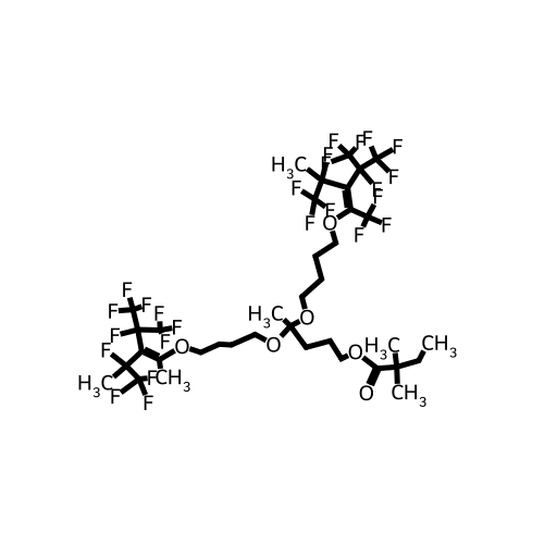 CCC(C)(C)C(=O)OCCCC(C)(OCCCCO/C(C)=C(/C(C)(F)C(F)(F)F)C(F)(C(F)(F)F)C(F)(F)F)OCCCCO/C(=C(\C(C)(F)C(F)(F)F)C(F)(C(F)(F)F)C(F)(F)F)C(F)(F)F